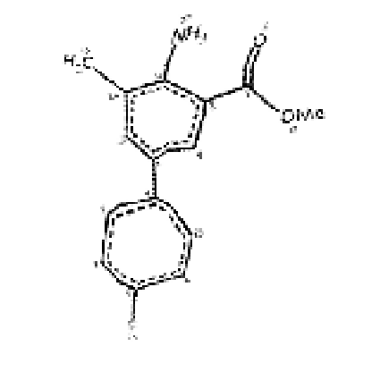 COC(=O)c1cc(-c2ccc(F)cc2)cc(C)c1N